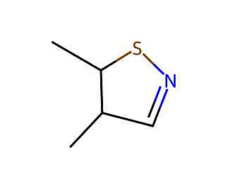 CC1C=NSC1C